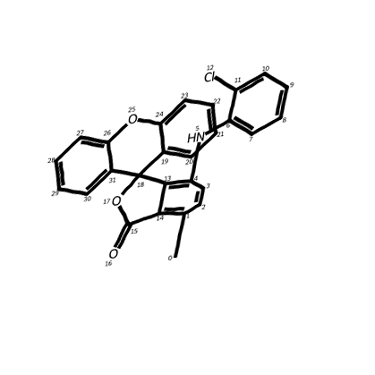 Cc1ccc(Nc2ccccc2Cl)c2c1C(=O)OC21c2ccccc2Oc2ccccc21